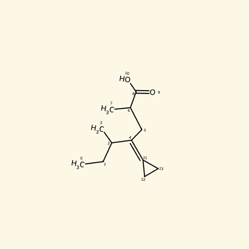 CCC(C)C(CC(C)C(=O)O)=C1CC1